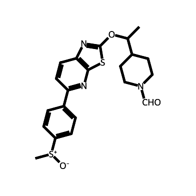 CC(Oc1nc2ccc(-c3ccc([S+](C)[O-])cc3)nc2s1)C1CCN(C=O)CC1